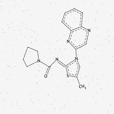 Cc1cn(-c2cnc3ccccc3n2)/c(=N/C(=O)N2CCCC2)s1